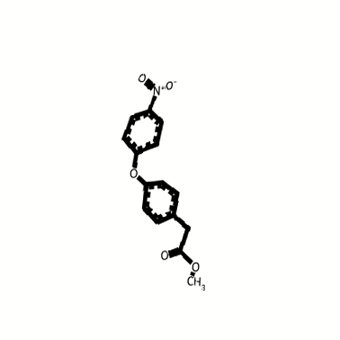 COC(=O)Cc1ccc(Oc2ccc([N+](=O)[O-])cc2)cc1